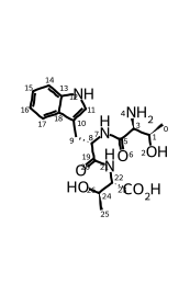 C[C@@H](O)[C@H](N)C(=O)N[C@@H](Cc1c[nH]c2ccccc12)C(=O)N[C@H](C(=O)O)[C@@H](C)O